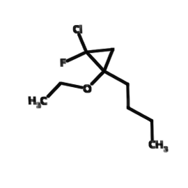 CCCCC1(OCC)CC1(F)Cl